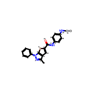 Cc1nn(-c2ccccc2)c2sc(C(=O)Nc3ccc(NC=O)cc3)cc12